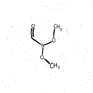 CON(C=O)OC